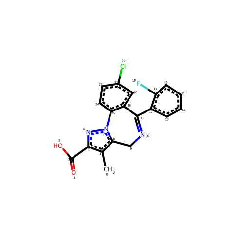 Cc1c(C(=O)O)nn2c1CN=C(c1ccccc1F)c1cc(Cl)ccc1-2